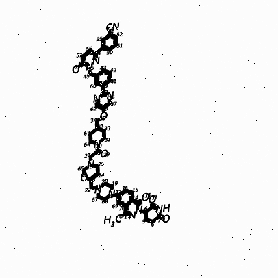 Cc1nn(C2CCC(=O)NC2=O)c(=O)c2ccc(N3CCN(CC4=CCN(CC(=O)N5CCC(COc6cnc(-c7cccc(Cn8nc(-c9cccc(C#N)c9)ccc8=O)c7)nc6)CC5)CO4)CC3)cc12